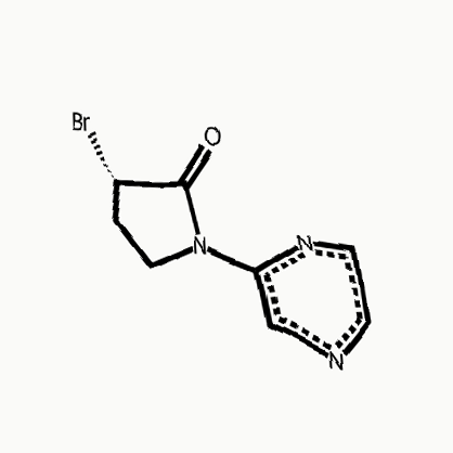 O=C1[C@@H](Br)CCN1c1cnccn1